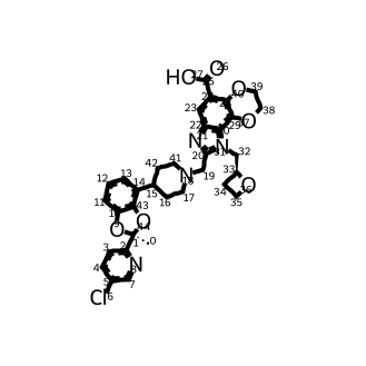 C[C@]1(c2ccc(Cl)cn2)Oc2cccc(C3CCN(Cc4nc5cc(C(=O)O)c6c(c5n4C[C@@H]4CCO4)OCCO6)CC3)c2O1